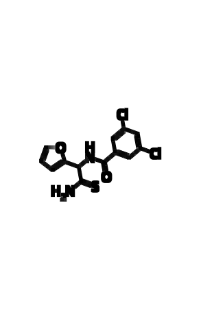 NC(=S)C(NC(=O)c1cc(Cl)cc(Cl)c1)c1ccco1